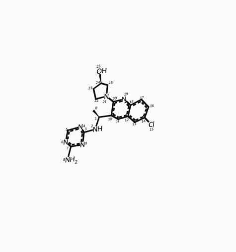 C[C@H](Nc1ncnc(N)n1)c1cc2cc(Cl)ccc2nc1N1CC[C@@H](O)C1